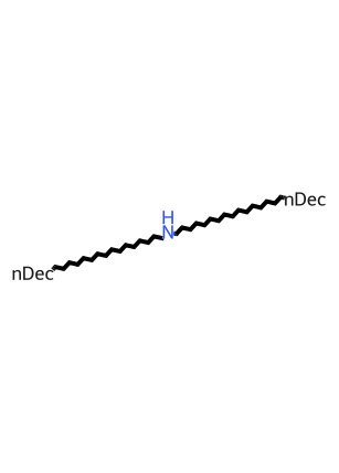 CCCCCCCCCCCCCCCCCCCCCCCCCCNCCCCCCCCCCCCCCCCCCCCCCCCCC